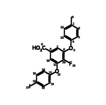 Cc1ccc(Oc2cc(C(=O)O)cc(Oc3ccc(I)cc3)c2F)cc1